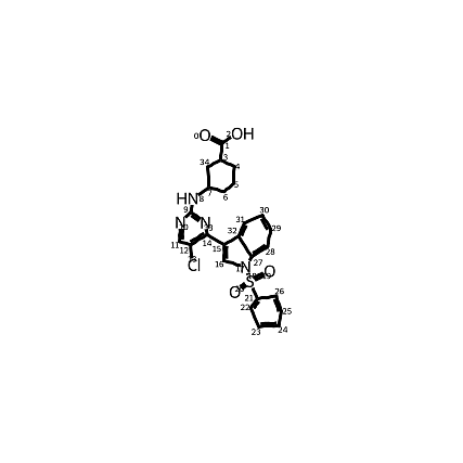 O=C(O)C1CCCC(Nc2ncc(Cl)c(-c3cn(S(=O)(=O)c4ccccc4)c4ccccc34)n2)C1